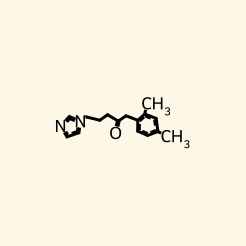 Cc1ccc(CC(=O)CCCn2ccnc2)c(C)c1